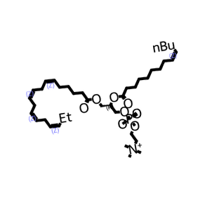 CC/C=C\C/C=C\C/C=C\C/C=C\CCCCC(=O)OC[C@H](COP(=O)([O-])OCC[N+](C)(C)C)OC(=O)CCCCCCC/C=C\CCCC